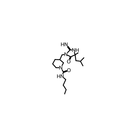 CCCCNC(=O)N1CCCC(CN2C(=N)NC(C)(CC(C)C)C2=O)C1